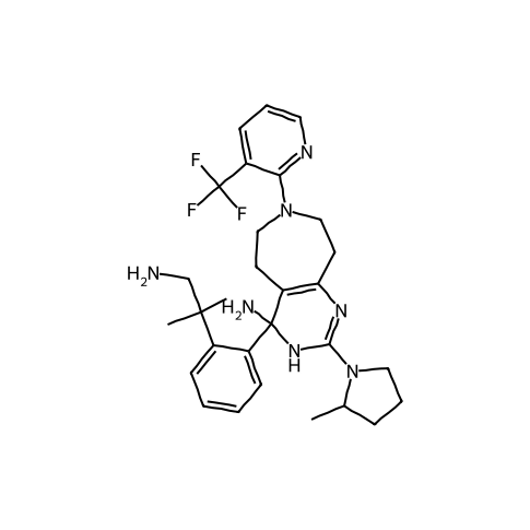 CC1CCCN1C1=NC2=C(CCN(c3ncccc3C(F)(F)F)CC2)C(N)(c2ccccc2C(C)(C)CN)N1